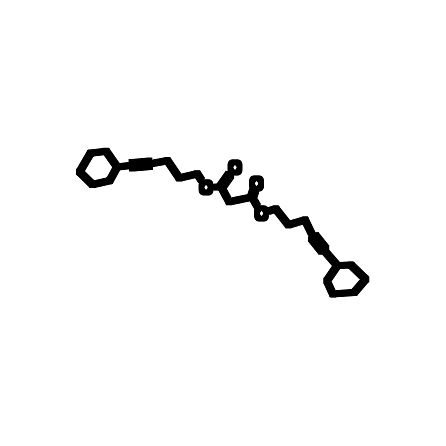 O=C(CC(=O)OCCCC#CC1CCCCC1)OCCCC#CC1CCCCC1